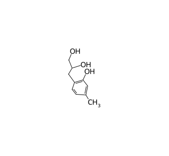 Cc1ccc(CC(O)CO)c(O)c1